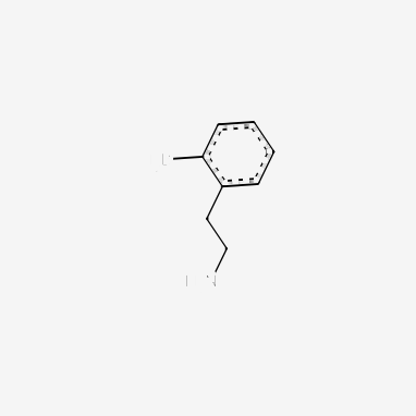 Bc1ccccc1CCN